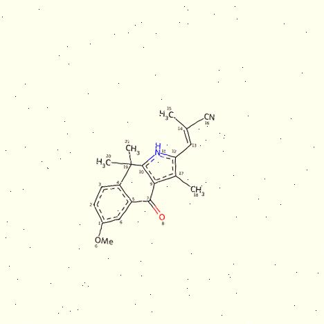 COc1ccc2c(c1)C(=O)c1c([nH]c(/C=C(\C)C#N)c1C)C2(C)C